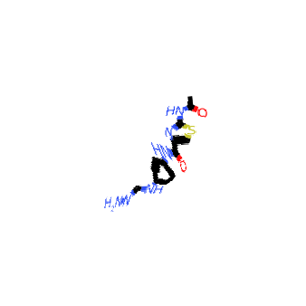 CC(=O)Nc1nc(C(=O)Nc2ccc(NC=NN)cc2)cs1